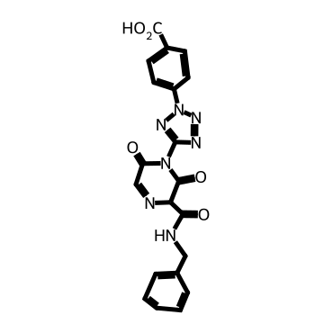 O=C(O)c1ccc(-n2nnc(N3C(=O)C=NC(C(=O)NCc4ccccc4)C3=O)n2)cc1